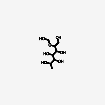 CC(O)C(O)C(O)C(O)C(CO)OCO